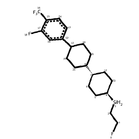 FCC[SiH2][C@H]1CC[C@H](C2CCC(c3ccc(C(F)(F)F)c(F)c3)CC2)CC1